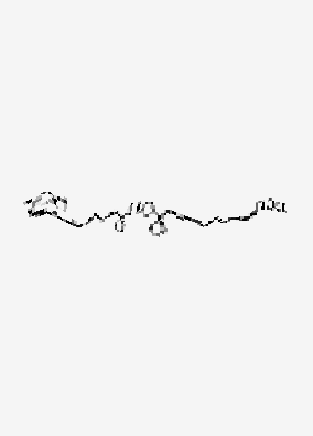 CCCCCCCC/C=C\CCCCCCCC(=O)OCOC(=O)CCCCCCC/C=C\CCCCCCCC